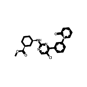 COC(=O)[C@H]1CCC[C@@H](Nc2ncc(Cl)c(-c3cccc(-n4ccccc4=O)c3)n2)C1